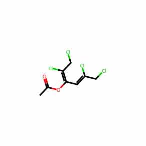 CC(=O)OC(C=C(Cl)CCl)=C(Cl)CCl